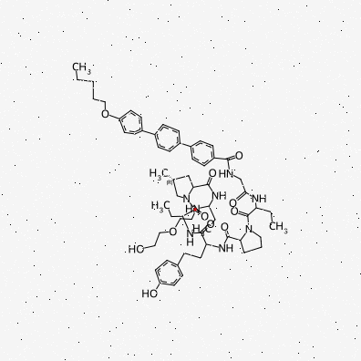 CCCCCOc1ccc(-c2ccc(-c3ccc(C(=O)NCC(=O)NC(CC)C(=O)N4CCCC4C(=O)NC(CCc4ccc(O)cc4)C(=O)NC(CC)C(=O)N4C[C@H](C)CC4C(=O)NC(CC)NCCOCCO)cc3)cc2)cc1